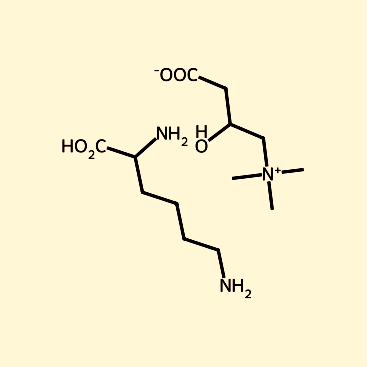 C[N+](C)(C)CC(O)CC(=O)[O-].NCCCCC(N)C(=O)O